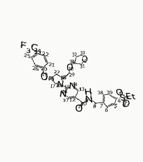 CCS(=O)(=O)c1ccc(CNC(=O)c2cnc(N3C[C@H](Oc4ccc(C(F)(F)F)cc4)C[C@H]3CO[C@@H]3CCOC3)nc2)cc1